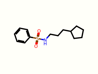 O=S(=O)(NCCCC1CCCC1)c1ccccc1